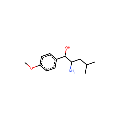 COc1ccc(C(O)C(N)CC(C)C)cc1